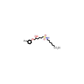 CCOC(=O)CCCCCCNS(=O)(=O)CCCCC(O)COc1cccc(C(C)=O)c1